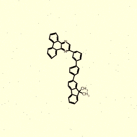 CC1(C)c2ccccc2-c2ccc(-c3ccc(-c4cccc(-c5cnc6c7ccccc7c7ccccc7c6n5)c4)cc3)cc21